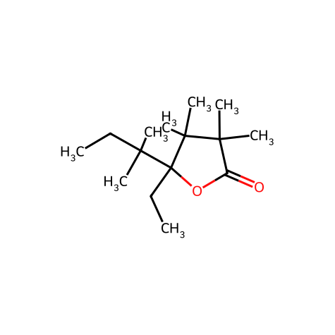 CCC(C)(C)C1(CC)OC(=O)C(C)(C)C1(C)C